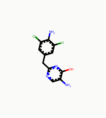 Nc1cnc(Cc2cc(Cl)c(N)c(Cl)c2)nc1O